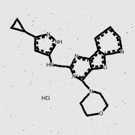 Cl.c1cnc2oc3c(N4CCOCC4)nc(Nc4cc(C5CC5)n[nH]4)nc3c2c1